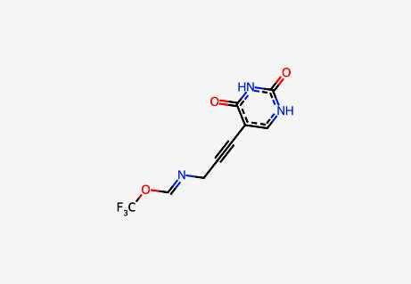 O=c1[nH]cc(C#CCN=COC(F)(F)F)c(=O)[nH]1